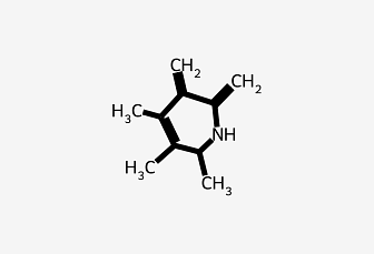 C=C1NC(C)C(C)=C(C)C1=C